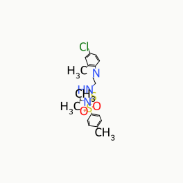 Cc1ccc(S(=O)(=O)N(SNCC=Nc2ccc(Cl)cc2C)C(C)C)cc1